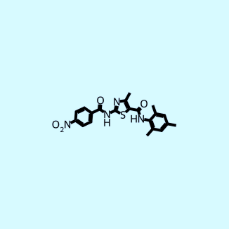 Cc1cc(C)c(NC(=O)c2sc(NC(=O)c3ccc([N+](=O)[O-])cc3)nc2C)c(C)c1